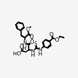 CCOC(=O)c1ccc(NC(=S)NC(CC(=O)O)C(=O)NC(Cc2ccccc2)C(=O)OC)cc1